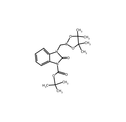 CC(C)(C)OC(=O)n1c(=O)n(CB2OC(C)(C)C(C)(C)O2)c2ccccc21